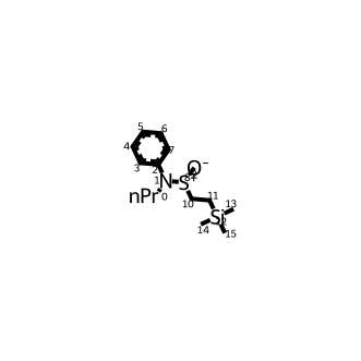 CCCN(c1ccccc1)[S+]([O-])CC[Si](C)(C)C